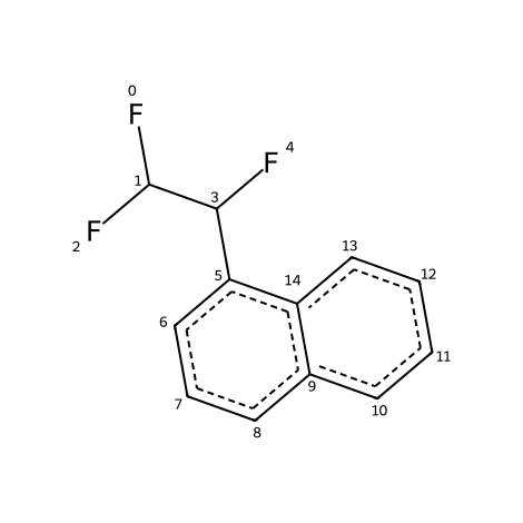 FC(F)C(F)c1cccc2ccccc12